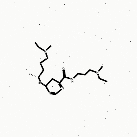 CCN(C)CCCNC(=O)C1=NC=NC(N[C@H](C)CCCN(C)CC)C1